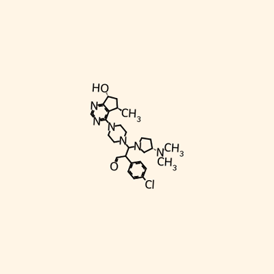 C[C@@H]1C[C@@H](O)c2ncnc(N3CCN(C(C(C=O)c4ccc(Cl)cc4)N4CC[C@H](N(C)C)C4)CC3)c21